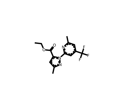 CCOC(=O)c1cc(C)nn1-c1cc(C(F)(F)F)cc(C)n1